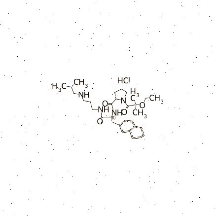 CCOC(C)(C)C(=O)N1CCCC1C(=O)N[C@H](Cc1ccc2ccccc2c1)C(=O)NCCCNCC(C)C.Cl